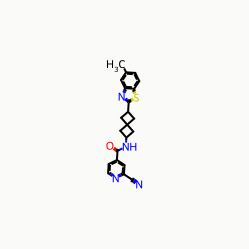 Cc1ccc2sc(C3CC4(CC(NC(=O)c5ccnc(C#N)c5)C4)C3)nc2c1